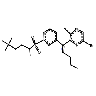 CCC/C=C(/c1cccc(S(=O)(=O)C(C)CCC(C)(C)C)c1)c1nc(Br)cnc1C